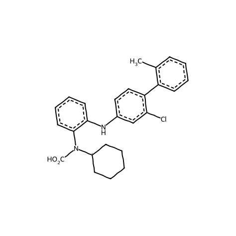 Cc1ccccc1-c1ccc(Nc2ccccc2N([C]2CCCCC2)C(=O)O)cc1Cl